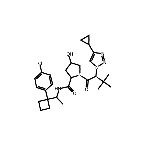 CC(NC(=O)C1CC(O)CN1C(=O)[C@@H](n1cc(C2CC2)nn1)C(C)(C)C)C1(c2ccc(Cl)cc2)CCC1